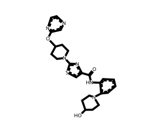 O=C(Nc1ccccc1N1CCC(O)CC1)c1csc(N2CCC(Oc3cnccn3)CC2)n1